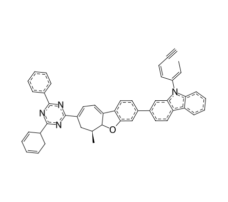 C#C/C=C\C(=C/C)n1c2ccccc2c2ccc(-c3ccc4c(c3)OC3C4=CC=C(c4nc(-c5ccccc5)nc(C5C=CC=CC5)n4)C[C@@H]3C)cc21